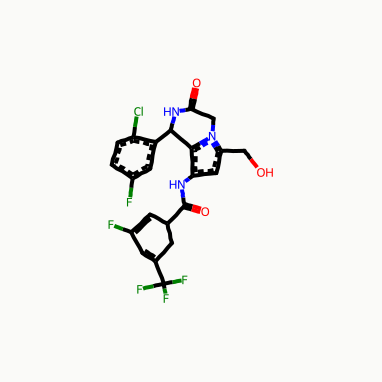 O=C1Cn2c(CO)cc(NC(=O)C3C=C(F)C=C(C(F)(F)F)C3)c2C(c2cc(F)ccc2Cl)N1